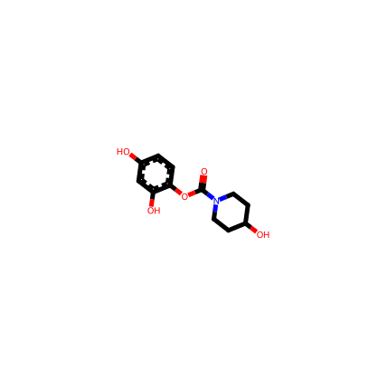 O=C(Oc1ccc(O)cc1O)N1CCC(O)CC1